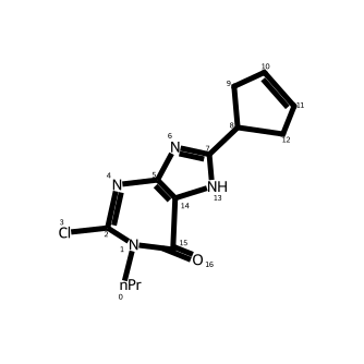 CCCn1c(Cl)nc2nc(C3CC=CC3)[nH]c2c1=O